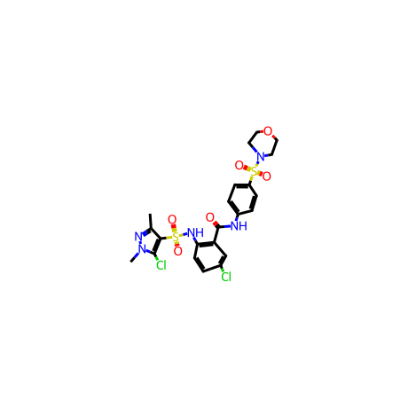 Cc1nn(C)c(Cl)c1S(=O)(=O)Nc1ccc(Cl)cc1C(=O)Nc1ccc(S(=O)(=O)N2CCOCC2)cc1